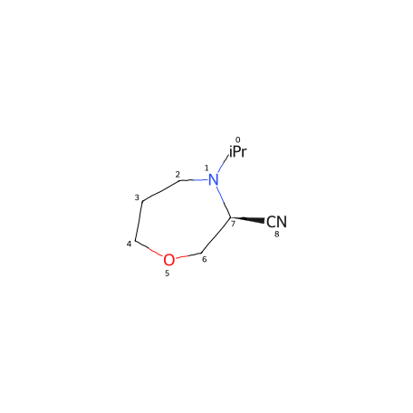 CC(C)N1CCCOC[C@@H]1C#N